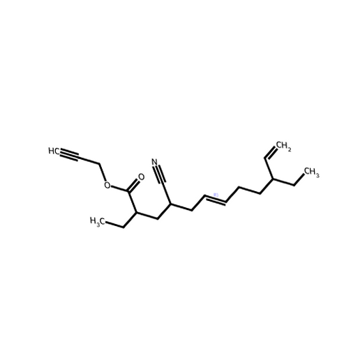 C#CCOC(=O)C(CC)CC(C#N)C/C=C/CCC(C=C)CC